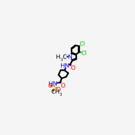 Cn1c(C(=O)NC2CCC(C(=O)NS(C)(=O)=O)CC2)cc2c(Cl)c(Cl)ccc21